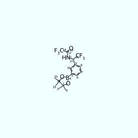 CC1(C)OB(c2cccc(C(NC(=O)C(F)(F)F)C(F)(F)F)c2)OC1(C)C